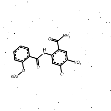 CCCCOc1ccccc1C(=O)Nc1cc(Cl)c([N+](=O)[O-])cc1C(N)=O